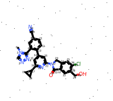 Cn1cnnc1-c1cc(C#N)ccc1-c1cc(C2CC2)nc(N2Cc3cc(Cl)c(CO)cc3C2=O)c1